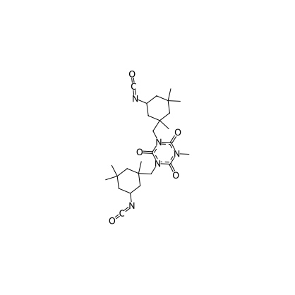 Cn1c(=O)n(CC2(C)CC(N=C=O)CC(C)(C)C2)c(=O)n(CC2(C)CC(N=C=O)CC(C)(C)C2)c1=O